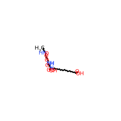 CCCCNC(=O)COCCOCCNC(=O)CC[C@H](NC(=O)CCCCCCCCCCCCCCCCCCC(=O)O)C(=O)O